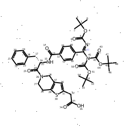 CC(C)(C)OC(=O)/N=C(\c1ccc(C(=O)N[C@@H](Cc2ccccc2)C(=O)N2CCc3sc(CC(=O)O)cc3C2)cc1)N(C(=O)OC(C)(C)C)C(=O)OC(C)(C)C